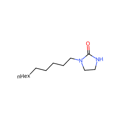 CCCCCCCCCCCN1CCNC1=O